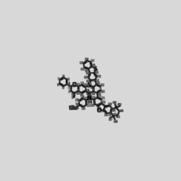 C=C1C=C(c2ccccc2)Oc2cc3c(cc21)Bc1c(-c2cc4c(cc2Nc2ccc(C(C)(C)C)cc2)oc2cc5c(cc24)C(C)(C)CCC5(C)C)ccc2c4cc5sc6ccccc6c5cc4n-3c12